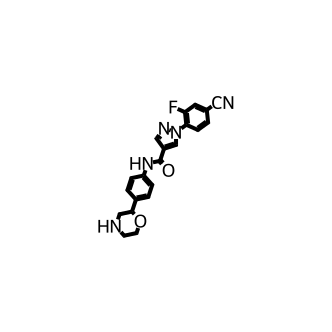 N#Cc1ccc(-n2cc(C(=O)Nc3ccc(C4CNCCO4)cc3)cn2)c(F)c1